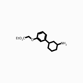 CCOC(=O)COc1cccc(C2CCCC(N)C2)c1